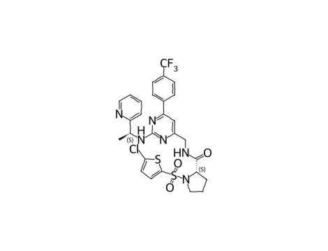 C[C@H](Nc1nc(CNC(=O)[C@@H]2CCCN2S(=O)(=O)c2ccc(Cl)s2)cc(-c2ccc(C(F)(F)F)cc2)n1)c1ccccn1